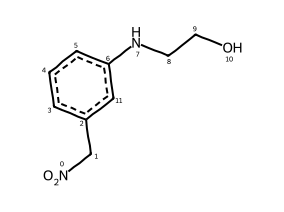 O=[N+]([O-])Cc1cccc(NCCO)c1